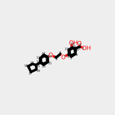 O=C(O)c1ccc(OCCOc2ccc(C3CCCC3)cc2)cc1O